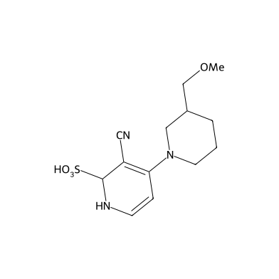 COCC1CCCN(C2=C(C#N)C(S(=O)(=O)O)NC=C2)C1